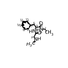 CCNC(=O)C(Cc1ccccc1)NC(=O)CNC